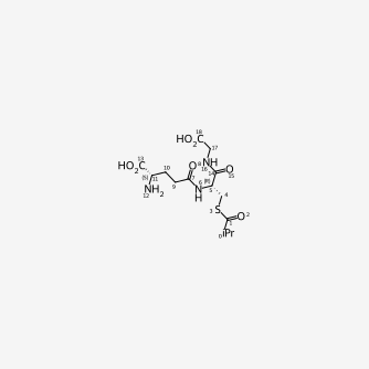 CC(C)C(=O)SC[C@H](NC(=O)CC[C@H](N)C(=O)O)C(=O)NCC(=O)O